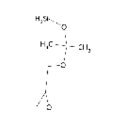 CC(C)(O[SiH3])OCC1CO1